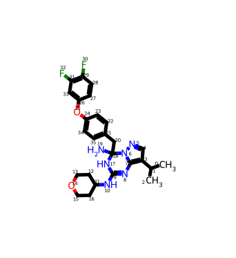 CC(C)c1cnn2c1N=C(NC1CCOCC1)NC2(N)Cc1ccc(Oc2ccc(F)c(F)c2)cc1